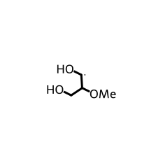 COC([CH]O)CO